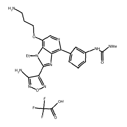 CCn1c(-c2nonc2N)nc2c(-c3cccc(NC(=O)NC)c3)ncc(OCCCN)c21.O=C(O)C(F)(F)F